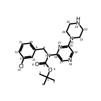 CC(C)(C)OC(=O)N(Cc1cccc(Cl)c1)c1cncc(N2CCNCC2)n1